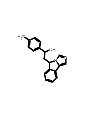 Nc1ccc(C(O)CC2c3ccccc3-c3cncn32)cc1